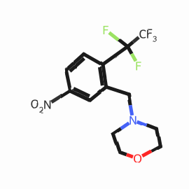 O=[N+]([O-])c1ccc(C(F)(F)C(F)(F)F)c(CN2CCOCC2)c1